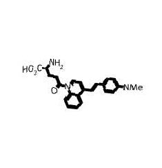 CNc1ccc(C=Cc2cc[n+](C(=O)CC[C@H](N)C(=O)O)c3ccccc23)cc1